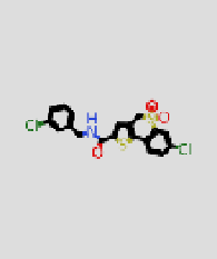 O=C(NCc1cccc(Cl)c1)c1cc2c(s1)-c1ccc(Cl)cc1S(=O)(=O)C2